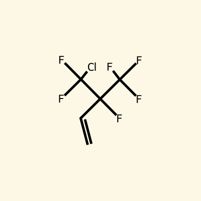 C=CC(F)(C(F)(F)F)C(F)(F)Cl